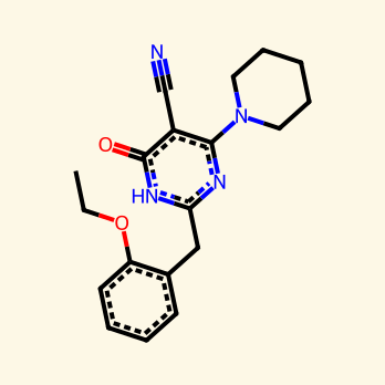 CCOc1ccccc1Cc1nc(N2CCCCC2)c(C#N)c(=O)[nH]1